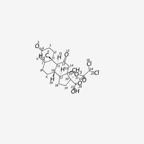 C[C@]12CCC(=O)C=C1CC[C@@H]1[C@@H]2C(=O)C[C@@]2(C)[C@H]1CC[C@]2(OC(=O)C(Cl)Cl)C(=O)O